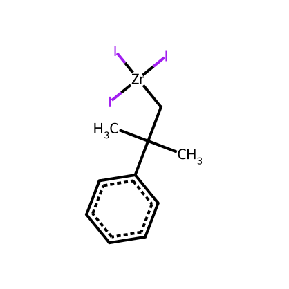 CC(C)([CH2][Zr]([I])([I])[I])c1ccccc1